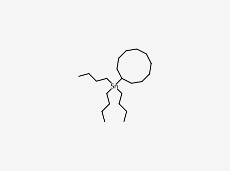 CCC[CH2][Sn]([CH2]CCC)([CH2]CCC)[CH]1CCCCCCCCC1